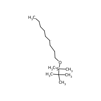 CCCCC[CH]CCCO[Si](C)(C)C(C)(C)C